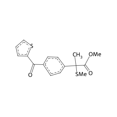 COC(=O)C(C)(SC)c1ccc(C(=O)c2cccs2)cc1